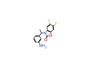 CC(c1cccc(N)c1)n1c(=O)oc2cc(F)c(F)cc21